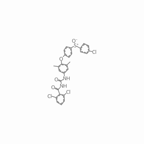 Cc1cc(NC(=O)NC(=O)c2c(Cl)cccc2Cl)cc(C)c1Oc1ccc([S+]([O-])c2ccc(Cl)cc2)cc1